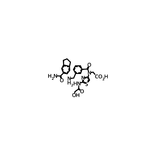 NC(=O)c1ccc2c(c1)CCC2.NCc1cccc(C(=O)N(CC(=O)O)c2csc(NC(=O)CO)n2)c1